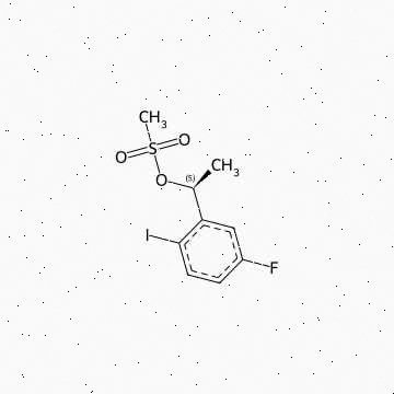 C[C@H](OS(C)(=O)=O)c1cc(F)ccc1I